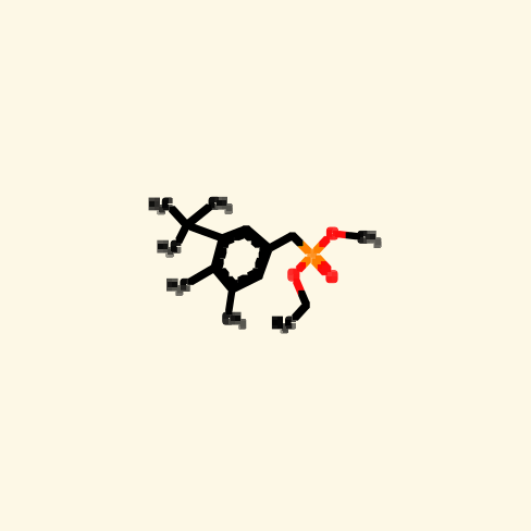 CCOP(=O)(Cc1cc(C)c(C)c(C(C)(C)C)c1)OC